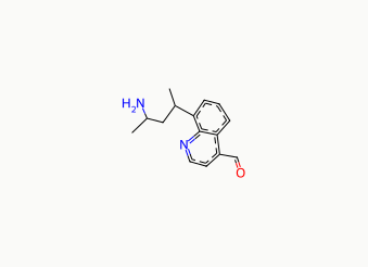 CC(N)CC(C)c1cccc2c(C=O)ccnc12